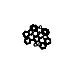 N#Cc1c(-c2ccccc2)c(-n2c3ccccc3c3ccccc32)c(N2c3ccccc3Oc3ccccc32)c(-n2c3ccccc3c3ccccc32)c1-c1ccccc1